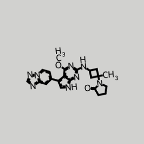 COc1nc(NC2CC(C)(N3CCCC3=O)C2)nc2[nH]cc(-c3ccn4ncnc4c3)c12